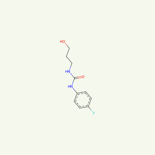 O=C(NCCCO)Nc1ccc(F)cc1